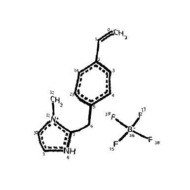 C=Cc1ccc(Cc2[nH]cc[n+]2C)cc1.F[B-](F)(F)F